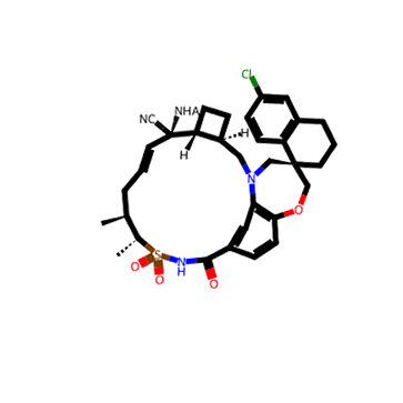 CC(=O)N[C@]1(C#N)/C=C/C[C@H](C)[C@@H](C)S(=O)(=O)NC(=O)c2ccc3c(c2)N(C[C@@H]2CC[C@H]21)C[C@@]1(CCCc2cc(Cl)ccc21)CO3